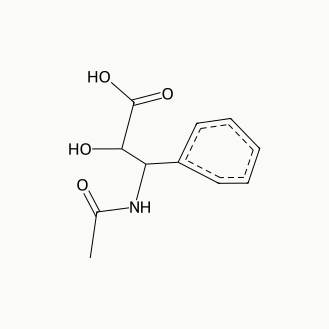 CC(=O)NC(c1ccccc1)C(O)C(=O)O